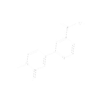 COC(=O)c1ccnc(-c2ccn(C)c(=O)c2)c1